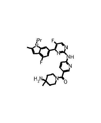 Cc1cc2c(F)cc(-c3nc(Nc4ccc(C(=O)N5CCC(C)(N)CC5)cn4)ncc3F)cc2n1C(C)C